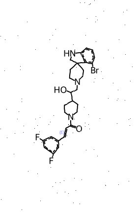 O=C(/C=C/c1cc(F)cc(F)c1)N1CCC(C(O)CN2CCC3(CC2)CNc2cccc(Br)c23)CC1